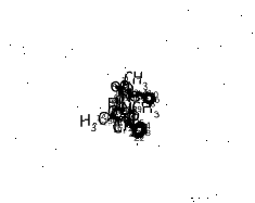 CCOC(=O)[C@@H](CC(F)(F)[C@H]1O[C@H](CC)[C@H](C)[C@H](OCc2ccccc2)[C@H]1NC(C)=O)NC(=O)OCc1ccccc1